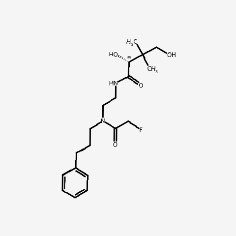 CC(C)(CO)[C@@H](O)C(=O)NCCN(CCCc1ccccc1)C(=O)CF